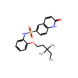 CCC(C)(C)CCOc1ccccc1NS(=O)(=O)c1ccc2[nH]c(=O)ccc2c1